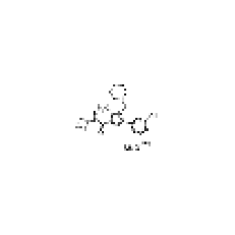 COC(=O)c1cc(-c2cc(C(=O)NC3COC3)c(C)n2CC2CCCCC2)cc(C(C)(C)C)n1